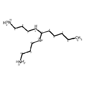 CCCCCC(NCCC[16NH2])NCCC[16NH2]